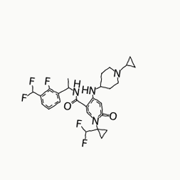 CC(NC(=O)c1cn(C2(C(F)F)CC2)c(=O)cc1NC1CCN(C2CC2)CC1)c1cccc(C(F)F)c1F